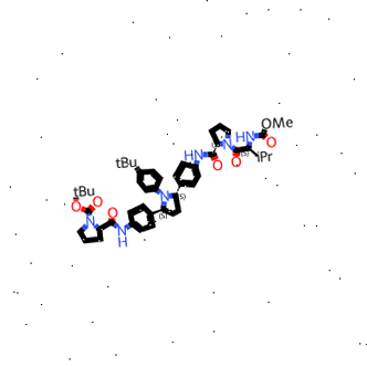 COC(=O)N[C@H](C(=O)N1CCC[C@H]1C(=O)Nc1ccc([C@@H]2CC[C@@H](c3ccc(NC(=O)C4CCCN4C(=O)OC(C)(C)C)cc3)N2c2ccc(C(C)(C)C)cc2)cc1)C(C)C